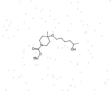 CC(O)CCCCOC1(C)CCN(C(=O)OC(C)(C)C)CC1